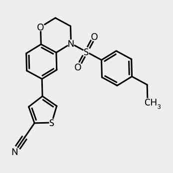 CCc1ccc(S(=O)(=O)N2CCOc3ccc(-c4csc(C#N)c4)cc32)cc1